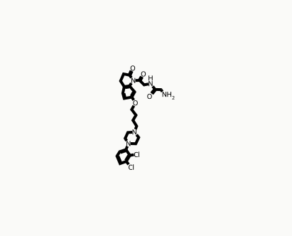 NCC(=O)NCC(=O)N1C(=O)CCc2ccc(OCCCCN3CCN(c4cccc(Cl)c4Cl)CC3)cc21